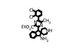 CCOC(=O)c1nc(-c2cccc(Cl)c2Cl)c(C)nc1C1c2ccccc2[C@H](N)C12CCNCC2